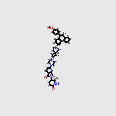 CCC(=C(c1ccc(O)cc1)c1ccc(N2CCC3(CC2)CC(N2CCN(c4ccc5c(n4)CN(C4CCC(=O)NC4=O)C5=O)CC2)C3)cc1)c1ccccc1